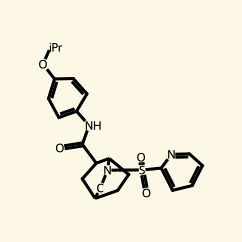 CC(C)Oc1ccc(NC(=O)C2CC3CCC2N(S(=O)(=O)c2ccccn2)C3)cc1